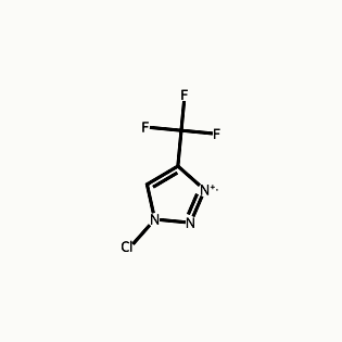 FC(F)(F)C1=CN(Cl)N=[N+]1